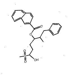 CC(Cc1ccccc1)C(CCC(O)S(C)(=O)=O)OC(=O)c1ccc2ccccc2c1